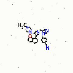 CN1CCN(C(=O)c2cn(Cc3cncn3Cc3ccc(C#N)cc3)cc2-c2cccc3ccccc23)CC1